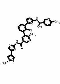 Cc1ccc(C(O)Nc2nc(-c3cccc(-c4cc(C(=O)Nc5nc(-c6cnn(C)c6)cs5)cnc4C)c3Cl)cs2)cn1